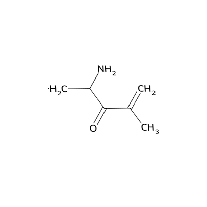 [CH2]C(N)C(=O)C(=C)C